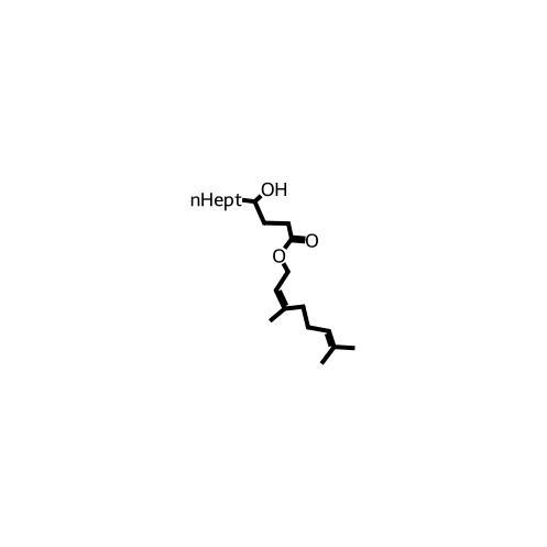 CCCCCCCC(O)CCC(=O)OCC=C(C)CCC=C(C)C